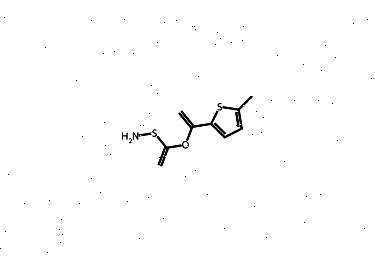 C=C(OC(=C)c1ccc(C)s1)SN